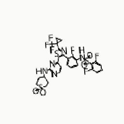 O=S1(=O)CCC(Nc2nccc(-c3sc(C4(C(F)(F)F)CC4)nc3-c3cccc(NS(=O)(=O)c4c(F)cccc4F)c3F)n2)CC1